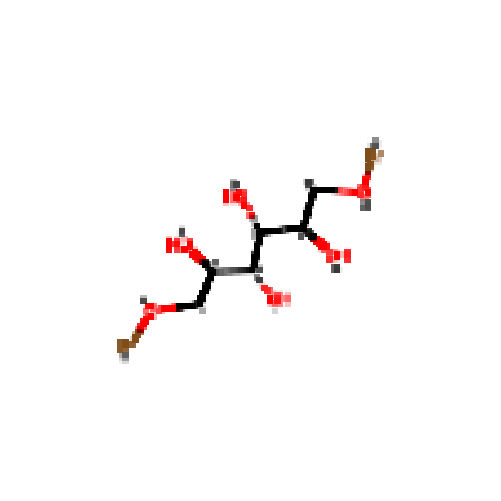 O[C@@H]([C@H](O)[C@H](O)COBr)[C@H](O)COBr